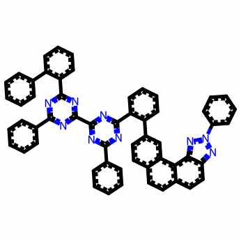 c1ccc(-c2nc(-c3nc(-c4ccccc4)nc(-c4ccccc4-c4ccc5ccc6ccc7nn(-c8ccccc8)nc7c6c5c4)n3)nc(-c3ccccc3-c3ccccc3)n2)cc1